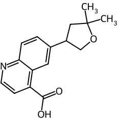 CC1(C)CC(c2ccc3nccc(C(=O)O)c3c2)CO1